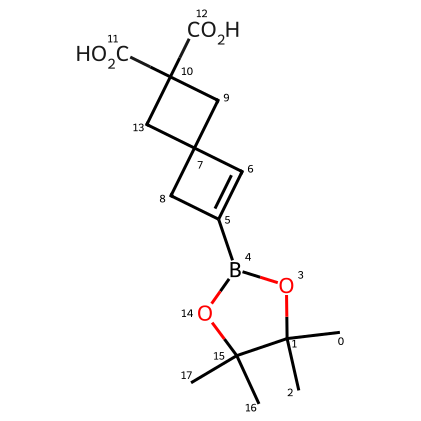 CC1(C)OB(C2=CC3(C2)CC(C(=O)O)(C(=O)O)C3)OC1(C)C